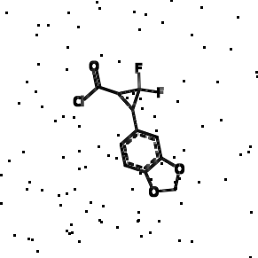 O=C(Cl)C1C(c2ccc3c(c2)OCO3)C1(F)F